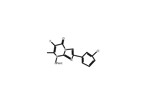 CCCCCn1c(C)c(F)c(=O)n2cc(-c3cccc(Cl)c3)nc12